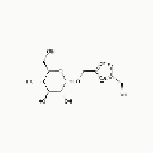 OCc1ccc(CO[C@H]2O[C@H](CO)[C@@H](O)[C@H](O)[C@H]2O)o1